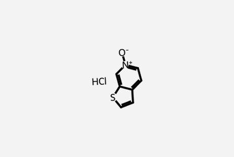 Cl.[O-][n+]1ccc2ccsc2c1